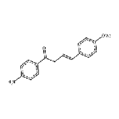 COc1ccc(C=CCC(=O)c2ccc(N)cc2)cc1